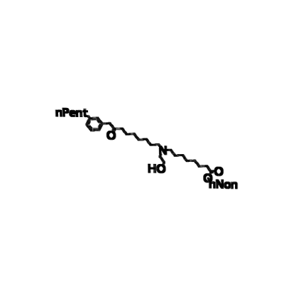 CCCCCCCCCOC(=O)CCCCCCCN(CCO)CCCCCCCC(=O)Cc1cccc(CCCCC)c1